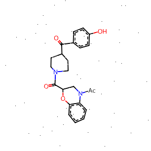 CC(=O)N1CC(C(=O)N2CCC(C(=O)c3ccc(O)cc3)CC2)Oc2ccccc21